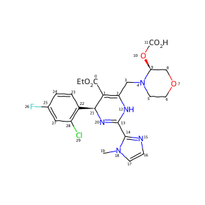 CCOC(=O)C1=C(CN2CCOC[C@@H]2OC(=O)O)NC(c2nccn2C)=N[C@H]1c1ccc(F)cc1Cl